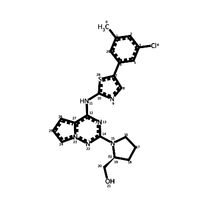 Cc1cc(Cl)cc(-c2cnc(Nc3nc(N4CCC[C@H]4CO)nn4cccc34)s2)c1